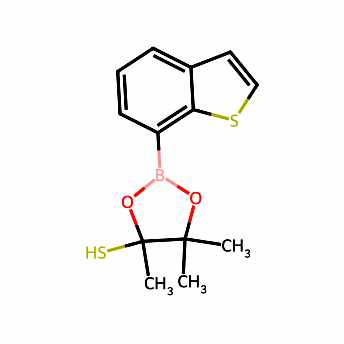 CC1(C)OB(c2cccc3ccsc23)OC1(C)S